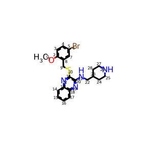 COc1ccc(Br)cc1CSc1nc2ccccc2nc1NCC1CCNCC1